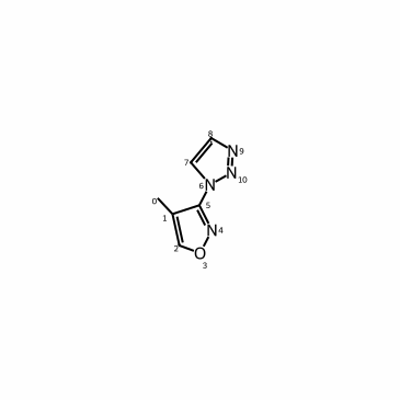 Cc1conc1-n1c[c]nn1